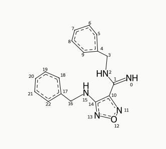 N=C(NCc1ccccc1)c1nonc1NCc1ccccc1